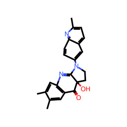 Cc1ccc2cc(N3CCC4(O)C(=O)c5cc(C)c(C)cc5N=C34)ccc2n1